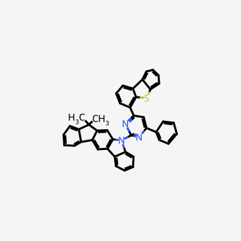 CC1(C)c2ccccc2-c2cc3c4ccccc4n(-c4nc(-c5ccccc5)cc(-c5cccc6c5sc5ccccc56)n4)c3cc21